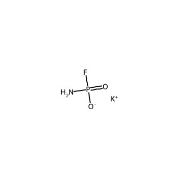 NP(=O)([O-])F.[K+]